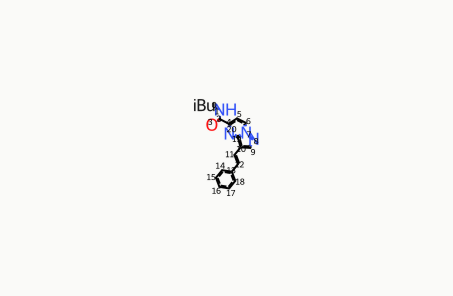 CCC(C)NC(=O)c1ccn2ncc(/C=C/c3ccccc3)c2n1